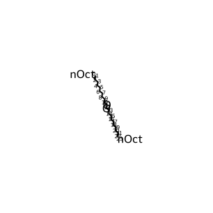 CCCCCCCCC=CCCCCCCCCOOCCCCCCCCC=CCCCCCCCC